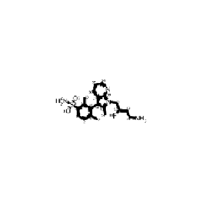 Cc1ccc(S(N)(=O)=O)c(C)c1-c1c(C)n(CC(F)=CCN)c2ncccc12